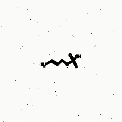 O=S(O)(=S)OCC=CP